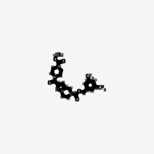 CC(C)(C)OC(=O)N1CCN(C(=O)c2cc3n(n2)CCN(C(=O)OCc2cc(C(F)(F)F)cc(C(F)(F)F)c2)C3)CC1